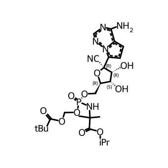 CC(C)OC(=O)C(C)(C)NP(=O)(OCOC(=O)C(C)(C)C)OC[C@H]1O[C@@](C#N)(c2ccc3c(N)ncnn23)[C@H](O)[C@@H]1O